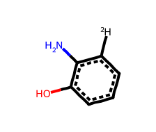 [2H]c1cccc(O)c1N